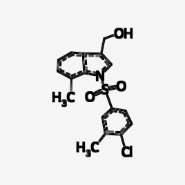 Cc1cc(S(=O)(=O)n2cc(CO)c3cccc(C)c32)ccc1Cl